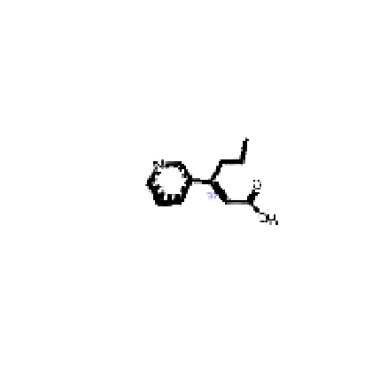 CCC/C(=C\C(=O)O)c1cccnc1